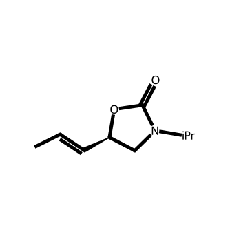 CC=C[C@@H]1CN(C(C)C)C(=O)O1